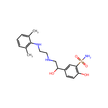 Cc1cccc(C)c1NCCNCC(O)c1ccc(O)c(S(N)(=O)=O)c1